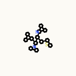 c1cc(-c2cc(-c3cc4c5ccccc5c5ccccc5c4cn3)ccc2-c2ccc(-n3c4ccccc4c4ccccc43)cc2-c2ccc3c4ccccc4c4ccccc4c3c2)cc(-c2cccc3c2sc2ccccc23)c1